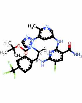 Cc1ncc(Nc2nc(N[C@H](c3ccc(C(F)(F)F)cc3)[C@H](C)NC(=O)OC(C)(C)C)c(F)cc2C(N)=O)cc1-n1nccn1